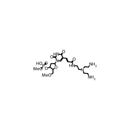 COCC1OC(n2cc(/C=C/C(=O)NCCN(CCN)CCN)c(=O)[nH]c2=O)CC1OP(=O)(O)OC